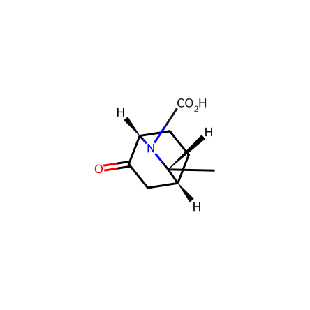 C[C@@H]1[C@@H]2CC[C@@H](C(=O)C2)N1C(=O)O